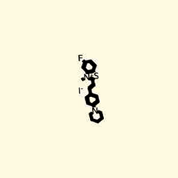 C[n+]1c(C=Cc2ccc(N3CCCCC3)cc2)sc2ccc(F)cc21.[I-]